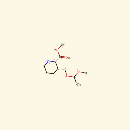 CCOC(C)OC[C@@H]1CCCN[C@@H]1C(=O)OC(C)C